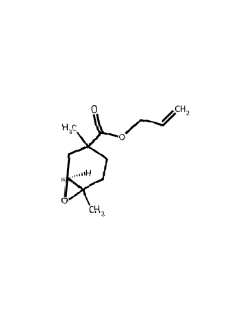 C=CCOC(=O)C1(C)CCC2(C)O[C@H]2C1